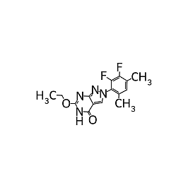 CCOc1nc2nn(-c3c(C)cc(C)c(F)c3F)cc2c(=O)[nH]1